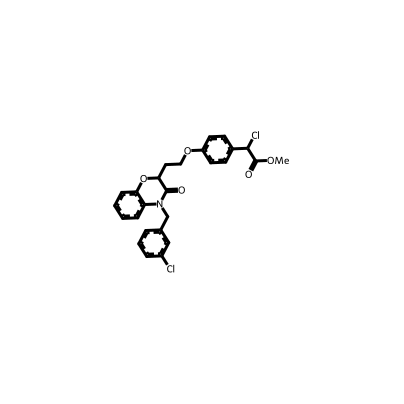 COC(=O)C(Cl)c1ccc(OCCC2Oc3ccccc3N(Cc3cccc(Cl)c3)C2=O)cc1